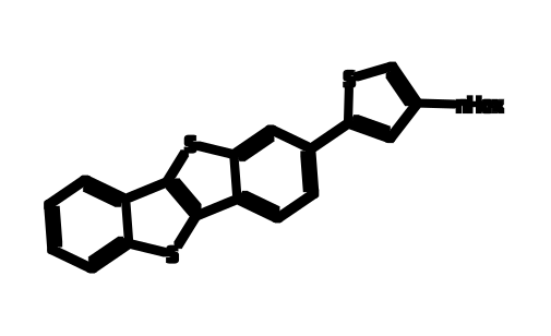 CCCCCCc1csc(-c2ccc3c(c2)sc2c4ccccc4sc32)c1